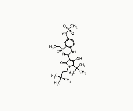 CCP1(=O)N=C(C2=C(O)C(C(C)(C)C)N(CCC(C)(C)C)C2=O)Nc2ccc(NS(C)(=O)=O)cc21